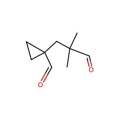 CC(C)(C=O)CC1(C=O)CC1